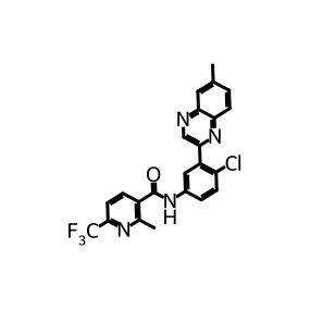 Cc1ccc2nc(-c3cc(NC(=O)c4ccc(C(F)(F)F)nc4C)ccc3Cl)cnc2c1